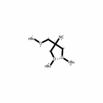 [C-]#[N+]C(COCCCC)(COCCCC)COCCCC